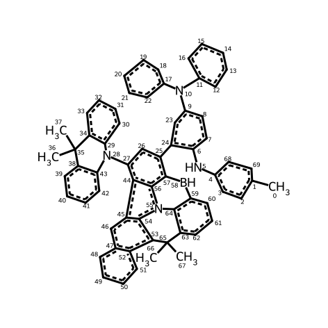 Cc1ccc(Nc2ccc(N(c3ccccc3)c3ccccc3)cc2-c2cc(N3c4ccccc4C(C)(C)c4ccccc43)c3c4cc5ccccc5c5c4n4c3c2Bc2cccc(c2-4)C5(C)C)cc1